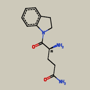 NC(=O)CC[C@H](N)C(=O)N1CCc2ccccc21